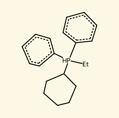 CC[PH](c1ccccc1)(c1ccccc1)C1CCCCC1